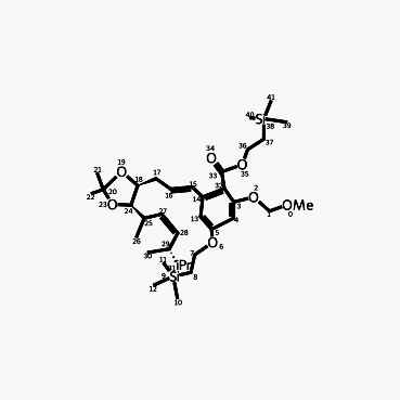 COCOc1cc(OCC[Si](C)(C)C)cc(/C=C/C[C@@H]2OC(C)(C)O[C@@H]2C(C)/C=C\[C@@H](C)C(C)C)c1C(=O)OCC[Si](C)(C)C